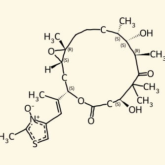 CC(=Cc1csc(C)[n+]1[O-])[C@@H]1C[C@@H]2O[C@]2(C)CCC[C@H](C)[C@H](O)[C@@H](C)C(=O)C(C)(C)[C@@H](O)CC(=O)O1